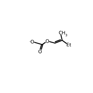 CCC(C)=COC([O])=O